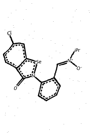 CC(C)[N+]([O-])=Cc1ccccc1-n1[se]c2cc(Cl)ccc2c1=O